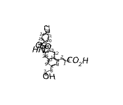 O=C(O)C=Cc1cc(CCO)cc2c1CCC(NS(=O)(=O)c1ccc(Cl)cc1)C2